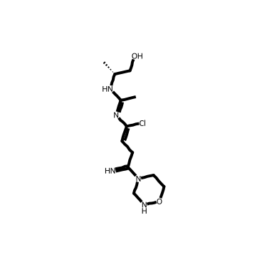 C/C(=N\C(Cl)=CCC(=N)N1CCONC1)N[C@H](C)CO